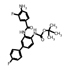 CC(C)(C)OC(=O)Nc1ccc(-c2ccc(F)cc2)cc1NC(=O)c1ccc(N)c(F)c1